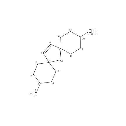 CC1CCC2(C=CC3(CCC(C)CC3)C2)CC1